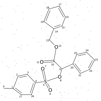 Cc1ccc(S(=O)(=O)OC(C(=O)OCc2ccccc2)c2ccccc2)cc1